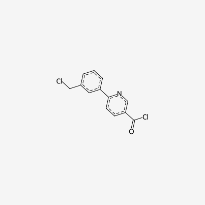 O=C(Cl)c1ccc(-c2cccc(CCl)c2)nc1